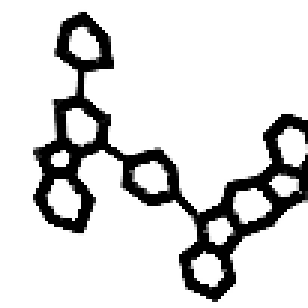 c1ccc(-c2nc(-c3ccc(-n4c5ccccc5c5cc6sc7ccccc7c6cc54)cc3)c3c(n2)sc2ccccc23)cc1